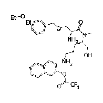 CCOCC.CN(C(=O)C(N)COCc1ccccc1)C(CO)CCCN.O=C(Oc1ccc2ccccc2c1)C(F)(F)F